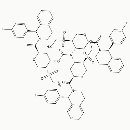 CCS(=O)(=O)[C@@H]1CO[C@@H](C(=O)N2CCc3ccccc3[C@@H]2c2ccc(F)cc2)C[C@@H]1OC(=O)N([C@H]1C[C@H](C(=O)N2CCc3ccccc3[C@@H]2c2ccc(F)cc2)OC[C@@H]1S(=O)(=O)CC)[C@H]1C[C@H](C(=O)N2CCc3ccccc3[C@@H]2c2ccc(F)cc2)OC[C@@H]1S(=O)(=O)CC